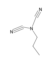 CCCN(C#N)C#N